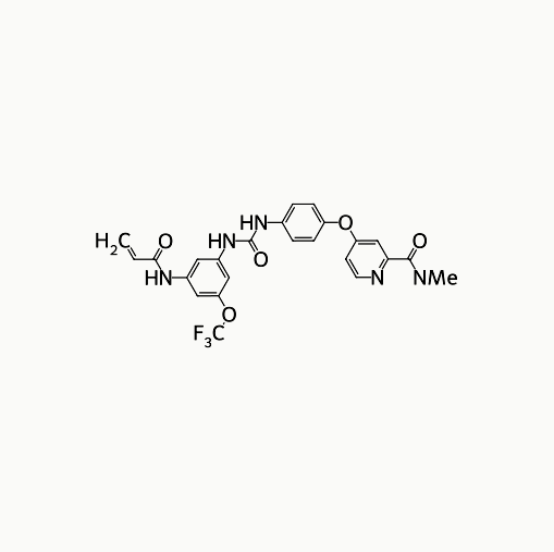 C=CC(=O)Nc1cc(NC(=O)Nc2ccc(Oc3ccnc(C(=O)NC)c3)cc2)cc(OC(F)(F)F)c1